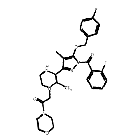 Cc1c(C2NCCN(CC(=O)N3CCOCC3)C2C(F)(F)F)nn(C(=O)c2ccccc2F)c1OCc1ccc(F)cc1